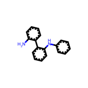 Nc1ccccc1-c1ccccc1Nc1ccccc1